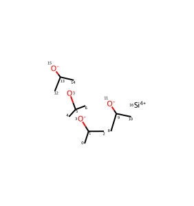 CC(C)[O-].CC(C)[O-].CC(C)[O-].CC(C)[O-].[Si+4]